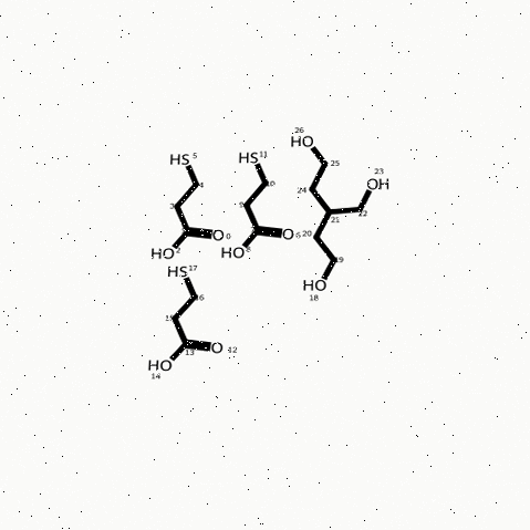 O=C(O)CCS.O=C(O)CCS.O=C(O)CCS.OCCC(CO)CCO